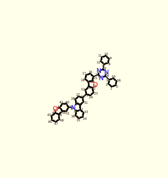 c1ccc(-c2nc(-c3ccccc3)nc(-c3cccc4c3oc3ccc(-c5ccc6c(c5)c5ccccc5n6-c5ccc6oc7ccccc7c6c5)cc34)n2)cc1